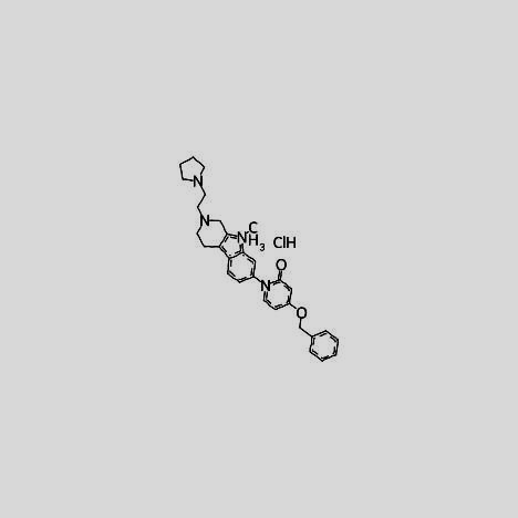 Cl.Cn1c2c(c3ccc(-n4ccc(OCc5ccccc5)cc4=O)cc31)CCN(CCN1CCCC1)C2